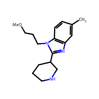 COCCCn1c(C2CCCNC2)nc2cc(C)ccc21